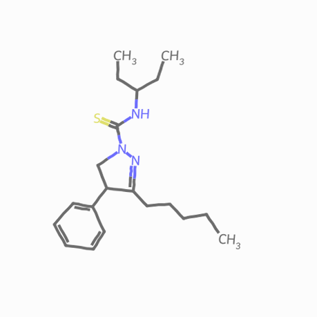 CCCCCC1=NN(C(=S)NC(CC)CC)CC1c1ccccc1